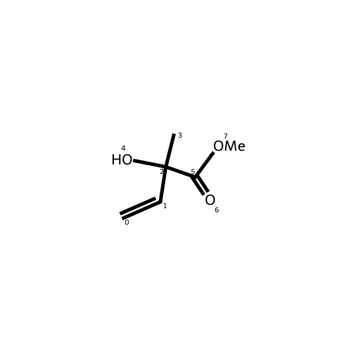 C=CC(C)(O)C(=O)OC